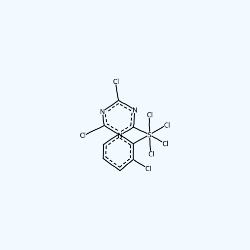 Clc1nc(Cl)nc(S(Cl)(Cl)(Cl)(Cl)c2ccccc2Cl)n1